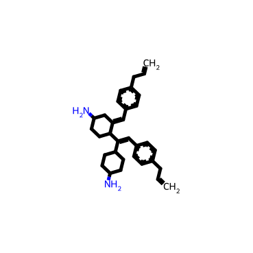 C=CCc1ccc(C=C2CC(N)CCC2C(=Cc2ccc(CC=C)cc2)C2CCC(N)CC2)cc1